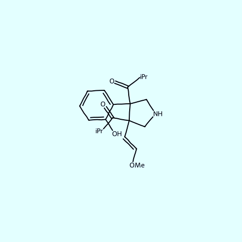 COC=CC1(C(=O)C(C)C)CNCC1(C(=O)C(C)C)c1ccccc1O